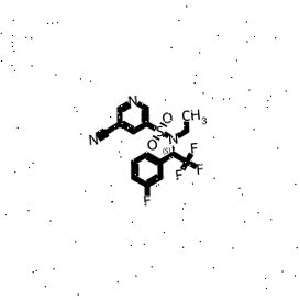 CCN([C@@H](c1cccc(F)c1)C(F)(F)F)S(=O)(=O)c1cncc(C#N)c1